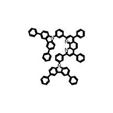 C1=CC2C(c3ccccc3)=CC(c3cccc(-n4c5ccc(-c6ccccc6)cc5c5cc(-c6ccccc6)ccc54)c3)=NC2c2nc(-c3cccc(-n4c5ccc(-c6ccccc6)cc5c5cc(-c6ccccc6)ccc54)c3)cc(-c3ccccc3)c21